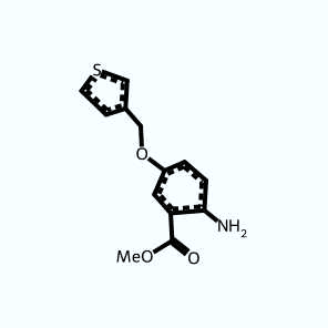 COC(=O)c1cc(OCc2ccsc2)ccc1N